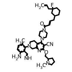 C=CCC1(F)CCCC(C/C=C/C(=O)N2CCN(c3c(C#N)c(OCC4CCCN4C)nc4c3CCN(c3c(C)ccc(N)c3C=N)C4)CC2)C1